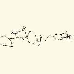 O=C1NC(C2CCCCC2)=NC12CCN(S(=O)(=O)CCc1ccc3[nH]sc3c1)CC2